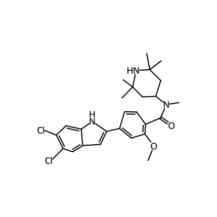 COc1cc(-c2cc3cc(Cl)c(Cl)cc3[nH]2)ccc1C(=O)N(C)C1CC(C)(C)NC(C)(C)C1